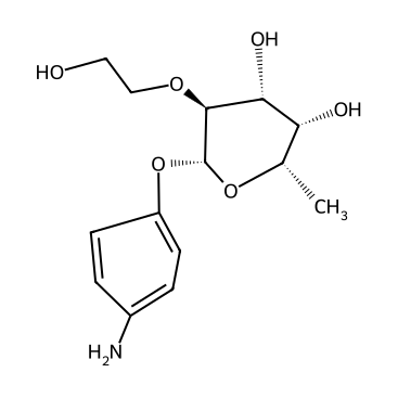 C[C@@H]1O[C@H](Oc2ccc(N)cc2)[C@@H](OCCO)[C@H](O)[C@@H]1O